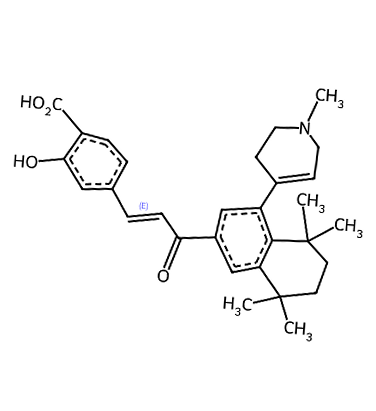 CN1CC=C(c2cc(C(=O)/C=C/c3ccc(C(=O)O)c(O)c3)cc3c2C(C)(C)CCC3(C)C)CC1